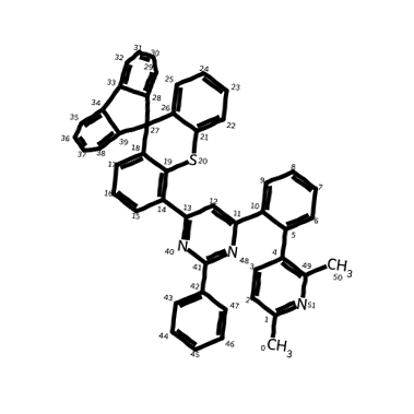 Cc1ccc(-c2ccccc2-c2cc(-c3cccc4c3Sc3ccccc3C43c4ccccc4-c4ccccc43)nc(-c3ccccc3)n2)c(C)n1